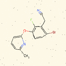 Cc1cccc(Oc2ccc(Br)c(CC#N)c2F)n1